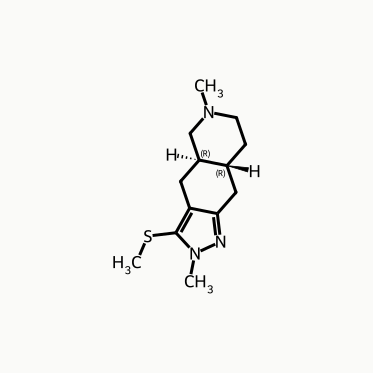 CSc1c2c(nn1C)C[C@H]1CCN(C)C[C@@H]1C2